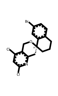 Clc1cc(Cl)c2c(n1)C[C@]1(CCCc3ccc(Br)cc31)OC2